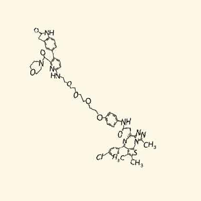 Cc1sc2c(c1C)C(c1ccc(Cl)cc1)=N[C@@H](CC(=O)Nc1ccc(OCCOCCOCCOCCNc3ccc(-c4ccc5c(c4)CC(=O)N5)c(C(=O)N4CCOCC4)n3)cc1)c1nnc(C)n1-2